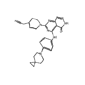 N#CC1CCN(c2nc(Nc3ccc(N4CCC5(CC4)CC5)cc3)c3c(=O)[nH]ncc3n2)CC1